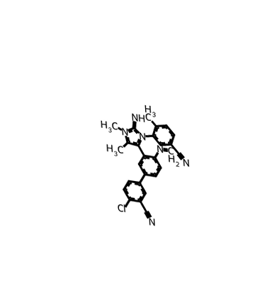 C=Nc1ccc(-c2ccc(Cl)c(C#N)c2)cc1-c1c(C)n(C)c(=N)n1-c1cc(C#N)ccc1C